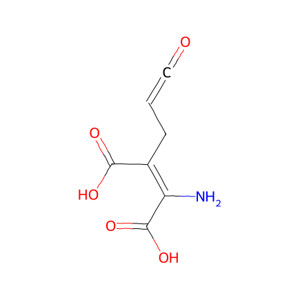 NC(C(=O)O)=C(CC=C=O)C(=O)O